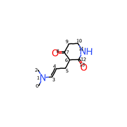 CN(C)C=CCC1C(=O)CCNC1=O